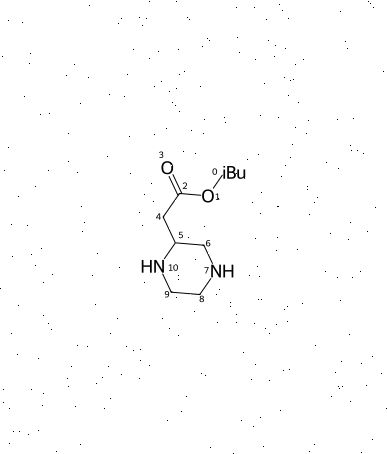 CCC(C)OC(=O)CC1CNCCN1